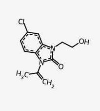 C=C(C)n1c(=O)n(CCO)c2cc(Cl)ccc21